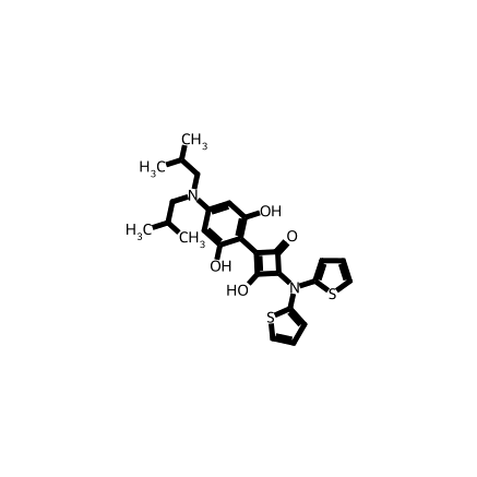 CC(C)CN(CC(C)C)c1cc(O)c(C2=C(O)C(N(c3cccs3)c3cccs3)C2=O)c(O)c1